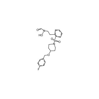 O=CN(O)CCc1ccccc1S(=O)(=O)N1CCC(OCc2ccc(F)cc2)CC1